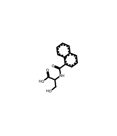 O=C(NC(CO)C(=O)O)c1cccc2ccccc12